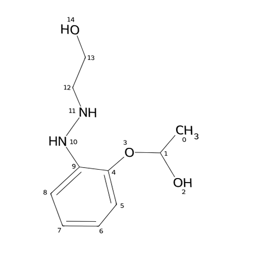 CC(O)Oc1ccccc1NNCCO